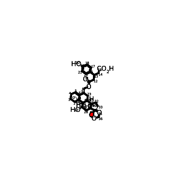 C[C@]12CCCC=C1[C@@H](COC(=O)CC(CC(=O)O)c1ccc(O)cc1)C[C@@H]1[C@@H]2[C@@H](O)C[C@@]2(C)[C@H]1CC[C@@]21OCOC12COCO2